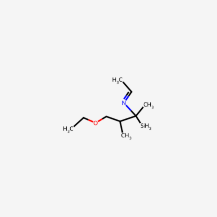 CC=NC(C)([SiH3])C(C)COCC